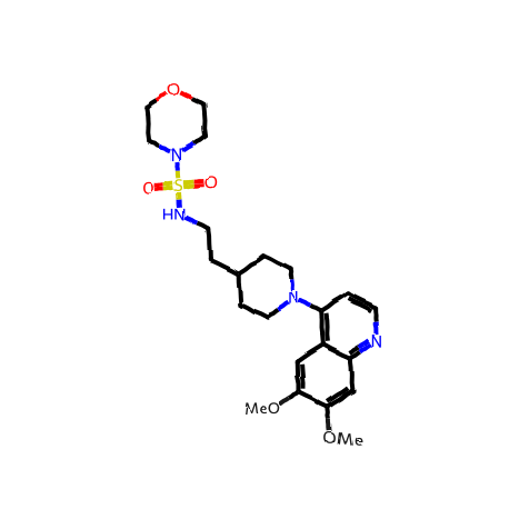 COc1cc2nccc(N3CCC(CCNS(=O)(=O)N4CCOCC4)CC3)c2cc1OC